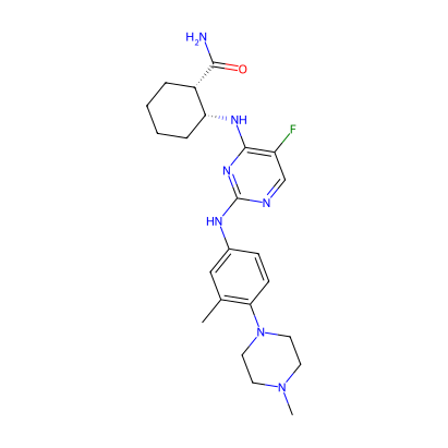 Cc1cc(Nc2ncc(F)c(N[C@@H]3CCCC[C@@H]3C(N)=O)n2)ccc1N1CCN(C)CC1